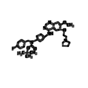 COc1cc2ncnc(Nc3ccc(N(Cc4ccc(F)cc4)C(=O)OC(C)(C)C)cc3)c2cc1OCCN1CCCC1